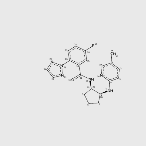 Cc1ccc(N[C@H]2CCC[C@H]2NC(=O)c2cc(F)ccc2-n2nccn2)nc1